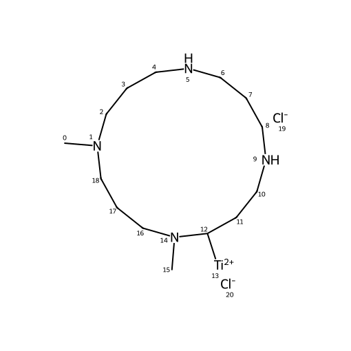 CN1CCCNCCCNCC[CH]([Ti+2])N(C)CCC1.[Cl-].[Cl-]